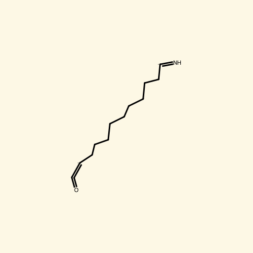 N=[C]CCCCCCCCC[C]=C=O